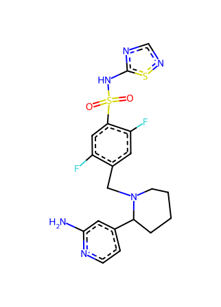 Nc1cc(C2CCCCN2Cc2cc(F)c(S(=O)(=O)Nc3ncns3)cc2F)ccn1